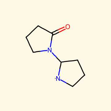 O=C1CCCN1C1CCC[N]1